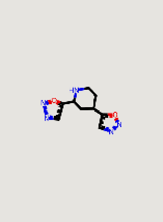 c1nnoc1C1CCNC(c2cnno2)C1